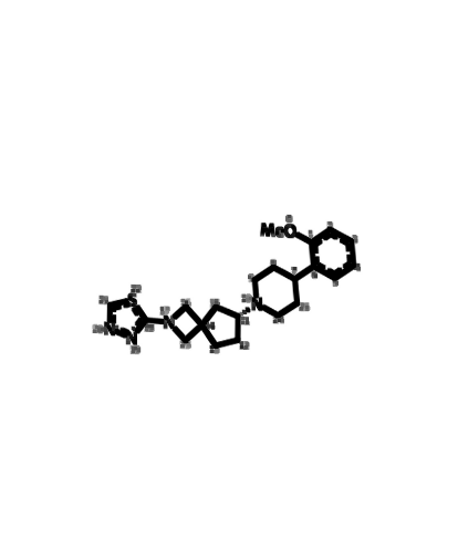 COc1ccccc1C1CCN([C@@H]2CCC3(C2)CN(c2nncs2)C3)CC1